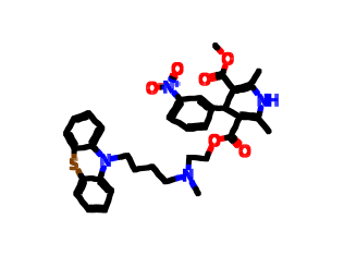 COC(=O)C1=C(C)NC(C)=C(C(=O)OCCN(C)CCCCN2c3ccccc3Sc3ccccc32)C1c1cccc([N+](=O)[O-])c1